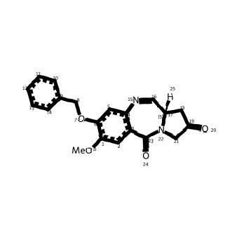 COc1cc2c(cc1OCc1ccccc1)N=C[C@@H]1CC(=O)CN1C2=O